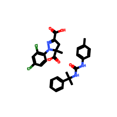 CC1(C(=O)O)CC(C(=O)O)=NN1c1ccc(Cl)cc1Cl.Cc1ccc(NC(=O)NC(C)(C)c2ccccc2)cc1